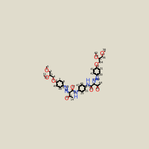 COCC(COc1ccc(/N=N/C(C(C)=O)C(=O)Nc2ccc(NC(=O)C(/N=N/c3ccc(OCC(COC)OC)cc3)C(C)=O)cc2)cc1)OC